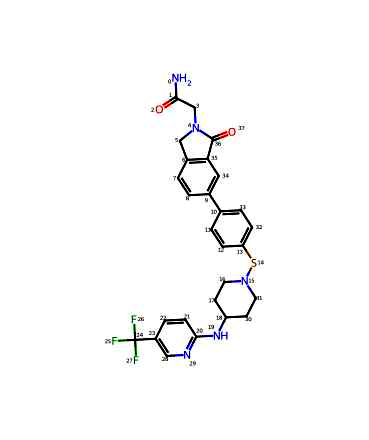 NC(=O)CN1Cc2ccc(-c3ccc(SN4CCC(Nc5ccc(C(F)(F)F)cn5)CC4)cc3)cc2C1=O